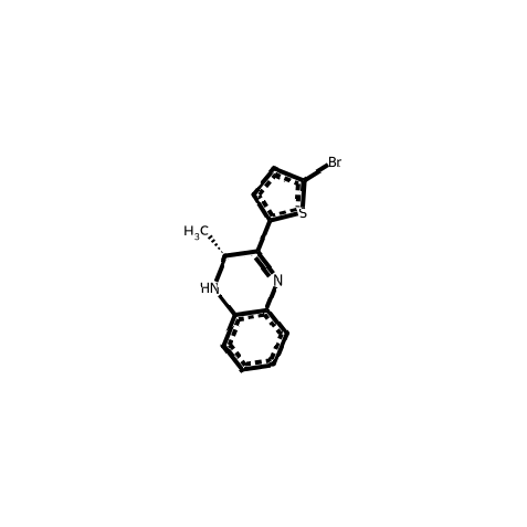 C[C@H]1Nc2ccccc2N=C1c1ccc(Br)s1